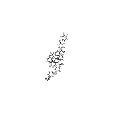 Nc1cccc(Oc2ccc(C(=O)c3ccc(C(c4ccccc4)(c4ccc(C(=O)c5ccc(Oc6cccc(N)c6)cc5)c5c4Oc4ccc-5cc4)C(F)(F)F)c4c3-c3ccc(cc3)O4)cc2)c1